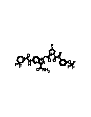 NC(=O)c1nn(CC(=O)N2C[C@H](F)C[C@H]2C(=O)N(F)c2cccc(OC(F)(F)F)c2)c2ccc(NC(=O)N3CCCC(F)(F)C3)cc12